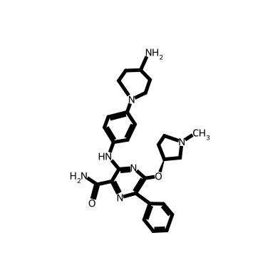 CN1CC[C@H](Oc2nc(Nc3ccc(N4CCC(N)CC4)cc3)c(C(N)=O)nc2-c2ccccc2)C1